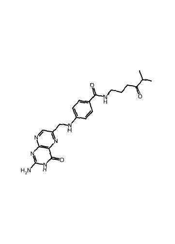 CC(C)C(=O)CCCNC(=O)c1ccc(NCc2cnc3nc(N)[nH]c(=O)c3n2)cc1